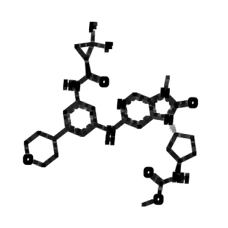 COC(=O)N[C@@H]1CC[C@@H](n2c(=O)n(C)c3cnc(Nc4cc(NC(=O)[C@H]5CC5(F)F)cc(C5CCOCC5)c4)cc32)C1